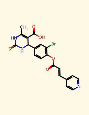 CC1=C(C(=O)O)C(c2ccc(OC(=O)C=Cc3ccncc3)c(Br)c2)NC(=S)N1